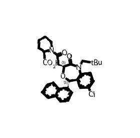 CC(C)(C)CN1C(=O)[C@H](CC(=O)N2CCCCC2C(=O)O)O[C@@H](c2cccc3ccccc23)c2cc(Cl)ccc21